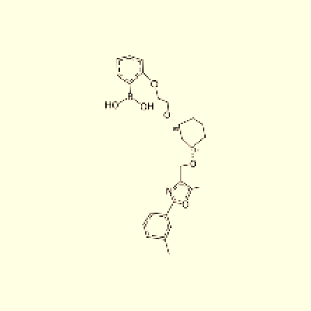 Cc1cccc(-c2nc(CO[C@H]3CCC[C@@H](OCCOc4ccccc4B(O)O)C3)c(C)o2)c1